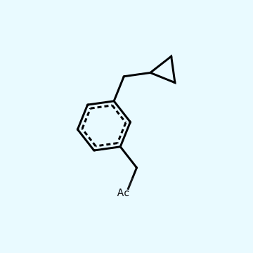 CC(=O)Cc1cccc(CC2CC2)c1